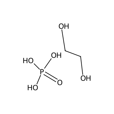 O=P(O)(O)O.OCCO